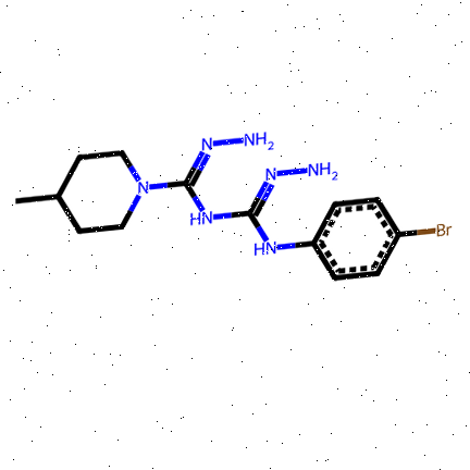 CC1CCN(C(=NN)NC(=NN)Nc2ccc(Br)cc2)CC1